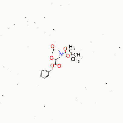 CC(C)(C)OC(=O)N1CC(=O)CO[C@H](C(=O)OCc2ccccc2)C1